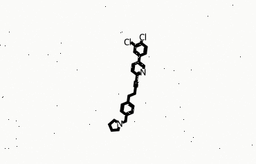 Clc1ccc(-c2ccc(C#CCCc3ccc(CN4CCCC4)cc3)nc2)cc1Cl